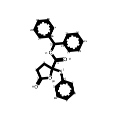 O=C1CCC(Sc2ccccc2)(C(=O)OC(c2ccccc2)c2ccccc2)O1